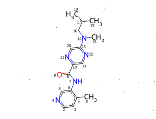 Cc1ccncc1NC(=O)c1cnc(N(C)CC(C)C)cn1